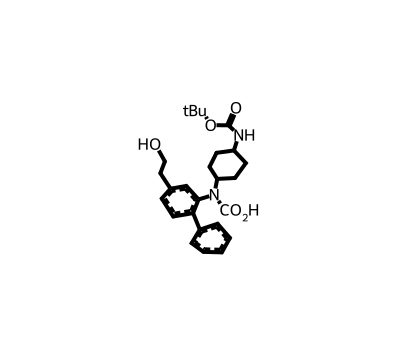 CC(C)(C)OC(=O)NC1CCC(N(C(=O)O)c2cc(CCO)ccc2-c2ccccc2)CC1